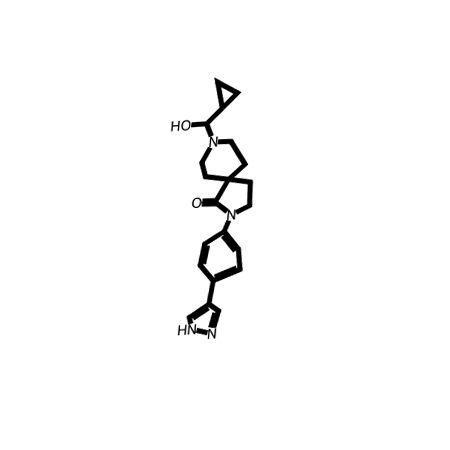 O=C1N(c2ccc(-c3cn[nH]c3)cc2)CCC12CCN(C(O)C1CC1)CC2